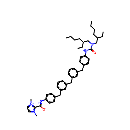 CCCCC(CC)CN(CC(CC)CCCC)C(=O)Nc1ccc(Cc2cccc(Cc3cccc(Cc4ccc(/N=C(\[O-])c5n(C)cc[n+]5C)cc4)c3)c2)cc1